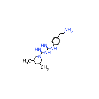 CC1CC(C)CN(C(=N)NC(=N)Nc2ccc(CCN)cc2)C1